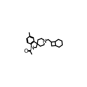 CC(=O)N1CC2(CCN(CC3CC4CCCCC43)CC2)c2cc(C)ccc21